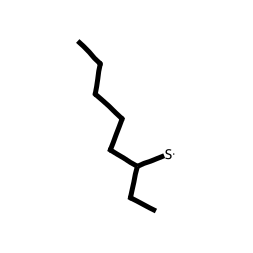 CCCCCC([S])CC